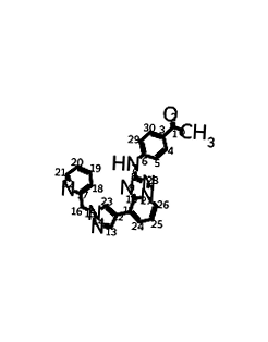 CC(=O)c1ccc(Nc2nc3c(-c4cnn(Cc5ccccn5)c4)cccn3n2)cc1